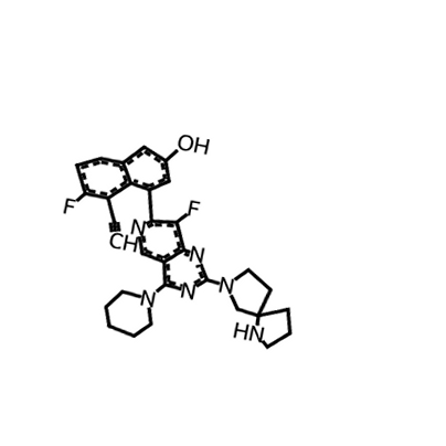 C#Cc1c(F)ccc2cc(O)cc(-c3ncc4c(N5CCCCC5)nc(N5CCC6(CCCN6)C5)nc4c3F)c12